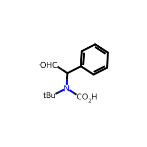 CC(C)(C)N(C(=O)O)C([C]=O)c1ccccc1